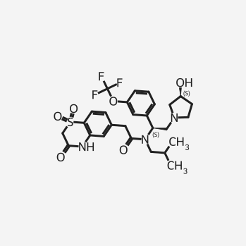 CC(C)CN(C(=O)Cc1ccc2c(c1)NC(=O)CS2(=O)=O)[C@H](CN1CC[C@H](O)C1)c1cccc(OC(F)(F)F)c1